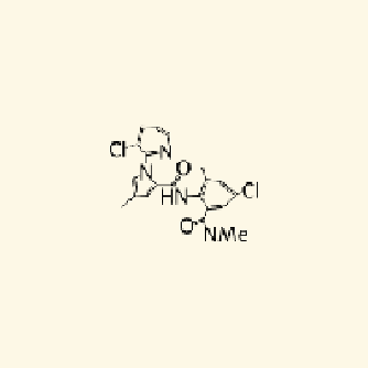 CNC(=O)c1cc(Cl)cc(C)c1NC(=O)c1cc(C)cn1-c1ncccc1Cl